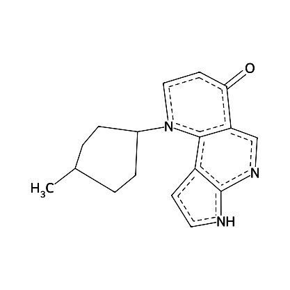 CC1CCC(n2ccc(=O)c3cnc4[nH]ccc4c32)CC1